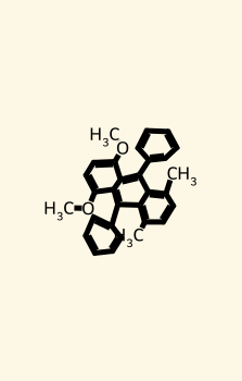 COc1ccc(OC)c2c(-c3ccccc3)c3c(C)ccc(C)c3c(-c3ccccc3)c12